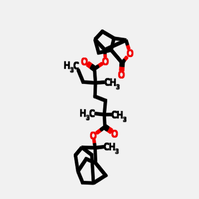 CCC(C)(CCC(C)(C)C(=O)OC1(C)C2CC3CC(C2)CC1C3)C(=O)OC1C2CC3C(=O)OC1C3C2